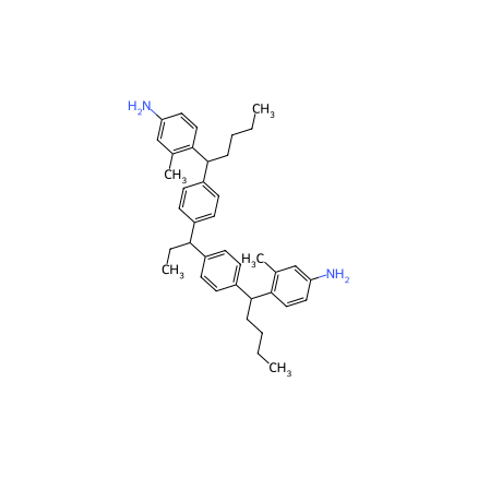 CCCCC(c1ccc(C(CC)c2ccc(C(CCCC)c3ccc(N)cc3C)cc2)cc1)c1ccc(N)cc1C